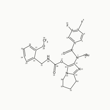 CCCCN(C(=O)c1ccc(F)c(F)c1)c1nc2n(c1OC(=O)NCc1ccccc1OC(F)(F)F)CCCC2